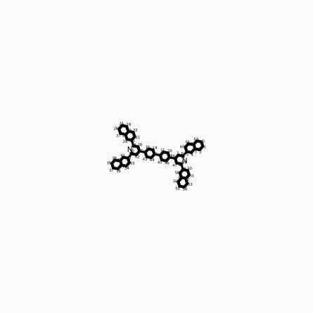 c1ccc2cc(-c3cc(-c4ccc(-c5ccc(-c6cc(-c7ccc8ccccc8c7)nc(-c7ccc8ccccc8c7)c6)cc5)cc4)cc(-c4ccc5ccccc5c4)n3)ccc2c1